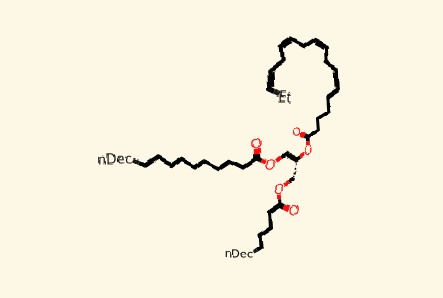 CC/C=C\C/C=C\C/C=C\C/C=C\CCCCC(=O)O[C@H](COC(=O)CCCCCCCCCCCCCC)COC(=O)CCCCCCCCCCCCCCCCCCC